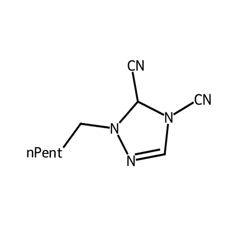 CCCCCCN1N=CN(C#N)C1C#N